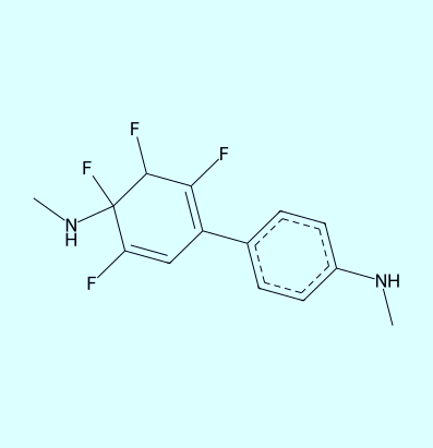 CNc1ccc(C2=C(F)C(F)C(F)(NC)C(F)=C2)cc1